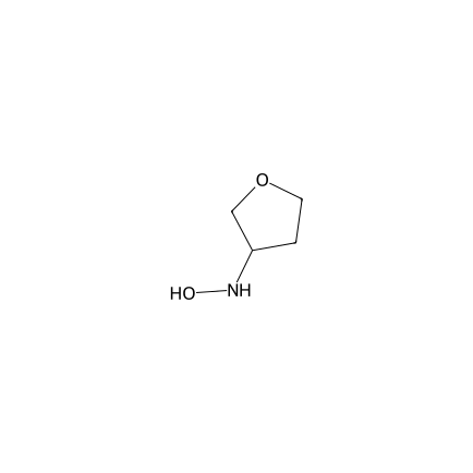 ONC1CCOC1